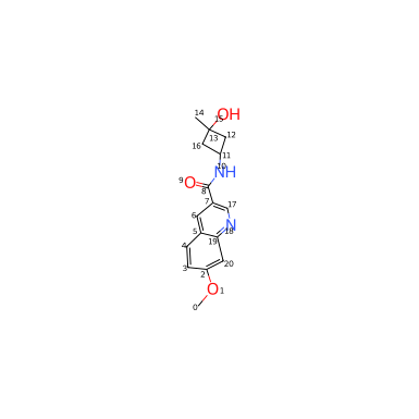 COc1ccc2cc(C(=O)NC3CC(C)(O)C3)cnc2c1